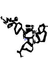 CC(C)c1ccc2c(c1)/C(=N/N(C(N)=S)c1ccc(S(N)(=O)=O)cc1)C(=O)N2Cc1ccc2ccccc2c1